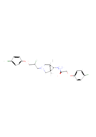 O=C(COc1ccc(Cl)cc1)N[C@H]1[C@@H]2CN(CC(F)COc3ccc(Cl)cc3)C[C@@H]21